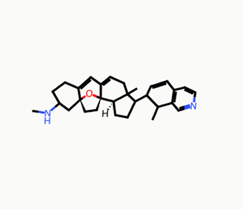 CNC1CCC2=CC3=CCC4(C)C(C5C=Cc6ccncc6C5C)CC[C@H]4[C@@]34CC[C@]2(C1)O4